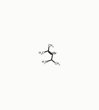 Br.CC(C)=CC(C)N